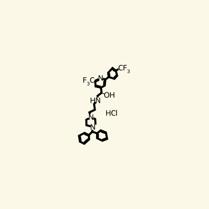 Cl.O[C@H](CNCCCN1CCN(C(c2ccccc2)c2ccccc2)CC1)c1cc(-c2ccc(C(F)(F)F)cc2)nc(C(F)(F)F)c1